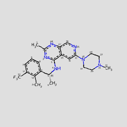 Cc1nc(N[C@H](C)c2cccc(C(F)(F)F)c2C)c2cc(N3CCN(C)CC3)ncc2n1